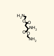 NCOC(=O)C[C@H](N)C(=O)OCN